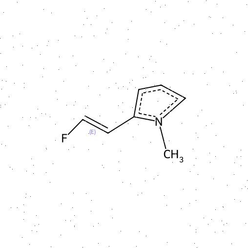 Cn1cccc1/C=C/F